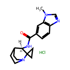 Cl.Cn1cnc2ccc(C(=O)N[C@@H]3C4CCN(CC4)C34CC4)cc21